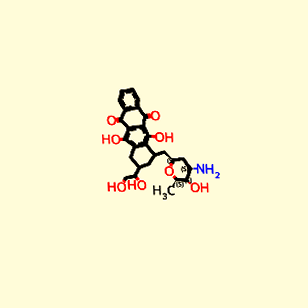 C[C@@H]1O[C@@H](CC2CC(C(O)CO)Cc3c(O)c4c(c(O)c32)C(=O)c2ccccc2C4=O)C[C@H](N)[C@@H]1O